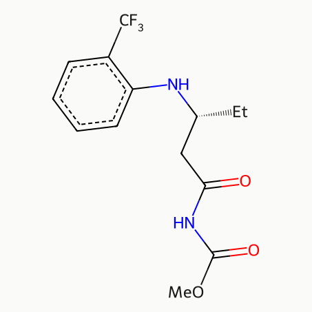 CC[C@H](CC(=O)NC(=O)OC)Nc1ccccc1C(F)(F)F